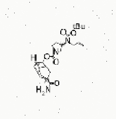 C=CCN(C(=O)OC(C)(C)C)[C@@H]1CCN(C(=O)OC2C3CC4C[C@@H]2C[C@@](C(N)=O)(C4)C3)C1